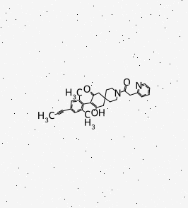 CC#Cc1cc(C)c(C2=C(O)CC3(CCN(C(=O)Cc4ccccn4)CC3)CC2=O)c(C)c1